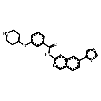 O=C(Nc1ncc2ccc(-c3cnco3)cc2n1)c1cccc(OC2CCNCC2)c1